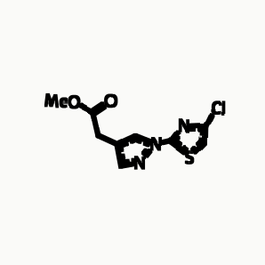 COC(=O)Cc1cnn(-c2nc(Cl)cs2)c1